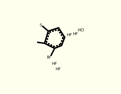 Cc1c([S])cccc1Br.Cl.F.F.F.F